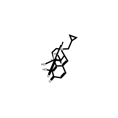 C[N@+]1(CC2CC2)CC[C@@]23C4=C(O)C(=O)C=CC4=CC1C2(O)CCC(=O)C3O